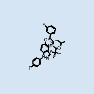 CC(C)C[C@H](NC(=O)C(F)(F)F)[C@H](Oc1ccc2c(cnn2-c2ccc(F)cc2)c1)c1cccc(F)c1